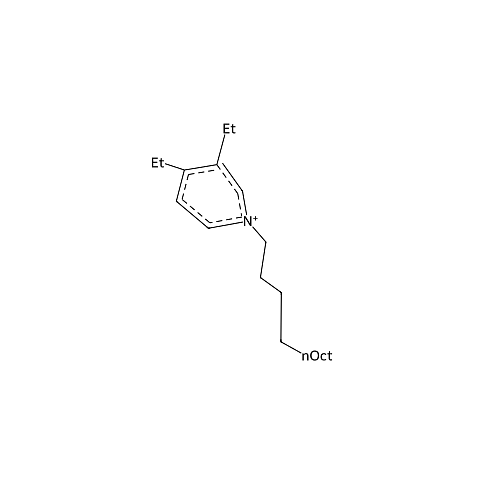 CCCCCCCCCCCC[n+]1ccc(CC)c(CC)c1